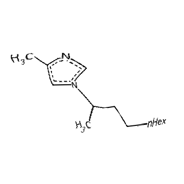 CCCCCCCCC(C)n1cnc(C)c1